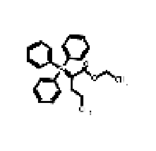 CCCC(C(=O)OCC)=P(c1ccccc1)(c1ccccc1)c1ccccc1